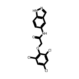 O=C(COc1c(Cl)cc(Cl)cc1Cl)Nc1ccc2[nH]ncc2c1